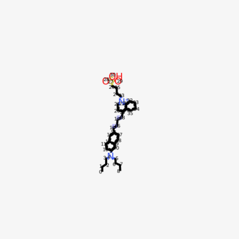 CCCCN(CCCC)c1ccc2cc(/C=C/C=C/c3cc[n+](CCCCS(=O)(=O)O)c4ccccc34)ccc2c1